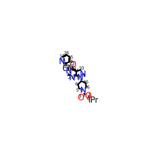 CC(C)OC(=O)N1CCC(n2ncc3c(Oc4cccnc4C#N)ncnc32)CC1